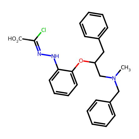 CN(Cc1ccccc1)CC(Cc1ccccc1)Oc1ccccc1N/N=C(\Cl)C(=O)O